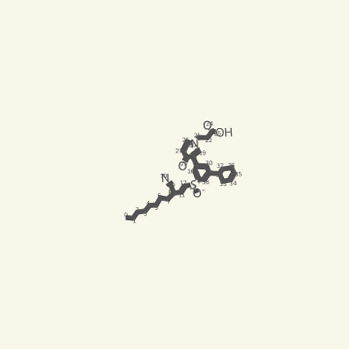 CCCCCCCCC(C#N)/C=C/[S+]([O-])c1cc(-c2cn(CCC(=O)O)ccc2=O)cc(C2CC=CCC2)c1